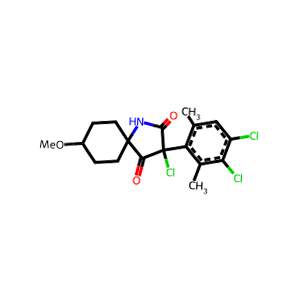 COC1CCC2(CC1)NC(=O)C(Cl)(c1c(C)cc(Cl)c(Cl)c1C)C2=O